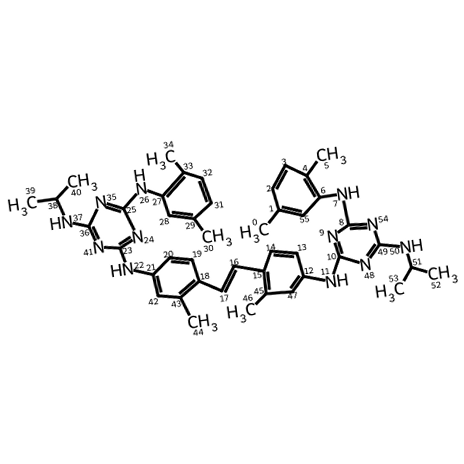 Cc1ccc(C)c(Nc2nc(Nc3ccc(/C=C/c4ccc(Nc5nc(Nc6cc(C)ccc6C)nc(NC(C)C)n5)cc4C)c(C)c3)nc(NC(C)C)n2)c1